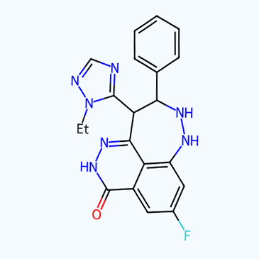 CCn1ncnc1C1c2n[nH]c(=O)c3cc(F)cc(c23)NNC1c1ccccc1